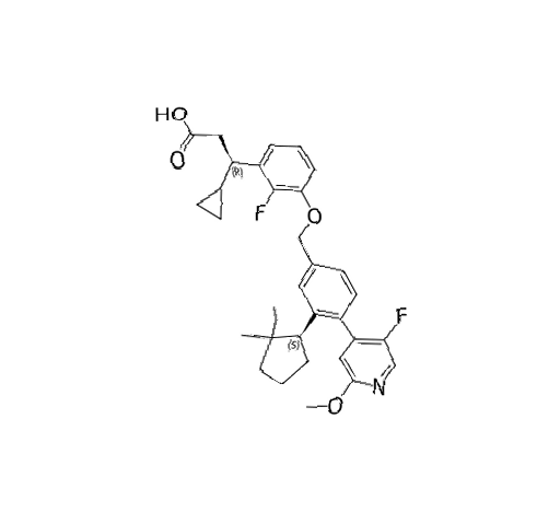 COc1cc(-c2ccc(COc3cccc([C@H](CC(=O)O)C4CC4)c3F)cc2[C@H]2CCCC2(C)C)c(F)cn1